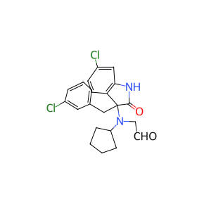 O=CCN(C1CCCC1)C1(Cc2cccc(Cl)c2)C(=O)Nc2cc(Cl)ccc21